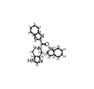 O=C(c1nc2ccccc2s1)N1CCc2[nH]cnc2[C@H]1c1cc2ccccc2s1